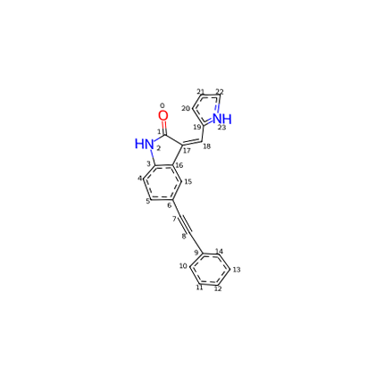 O=C1Nc2ccc(C#Cc3ccccc3)cc2C1=Cc1ccc[nH]1